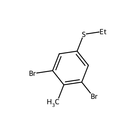 CCSc1cc(Br)c(C)c(Br)c1